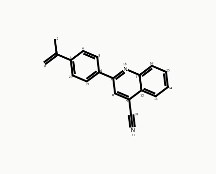 C=C(C)c1ccc(-c2cc(C#N)c3ccccc3n2)cc1